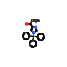 CCOC(=O)C(=O)c1cn(C(c2ccccc2)(c2ccccc2)c2ccccc2)cn1